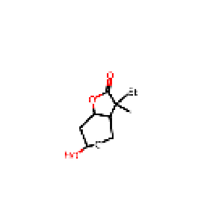 CCC1(C)C(=O)OC2CC(O)CCC21